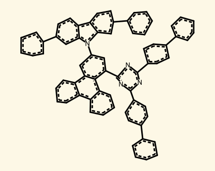 c1ccc(-c2ccc(-c3nc(-c4ccc(-c5ccccc5)cc4)nc(-c4cc(-n5c6cc(-c7ccccc7)ccc6c6ccc(-c7ccccc7)cc65)cc5c6ccccc6c6ccccc6c45)n3)cc2)cc1